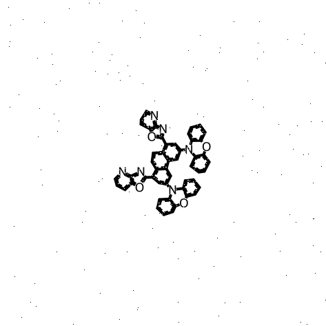 c1ccc2c(c1)Oc1ccccc1N2c1cc(-c2nc3ncccc3o2)c2ccc3c(-c4nc5ncccc5o4)cc(N4c5ccccc5Oc5ccccc54)cc3c2c1